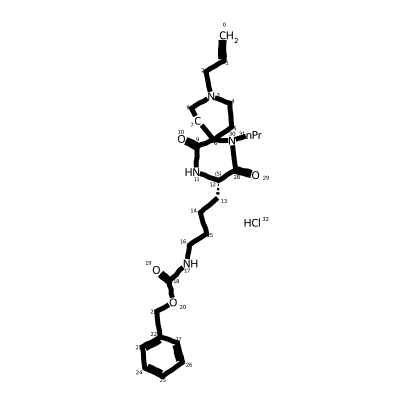 C=CCN1CCC2(CC1)C(=O)N[C@@H](CCCCNC(=O)OCc1ccccc1)C(=O)N2CCC.Cl